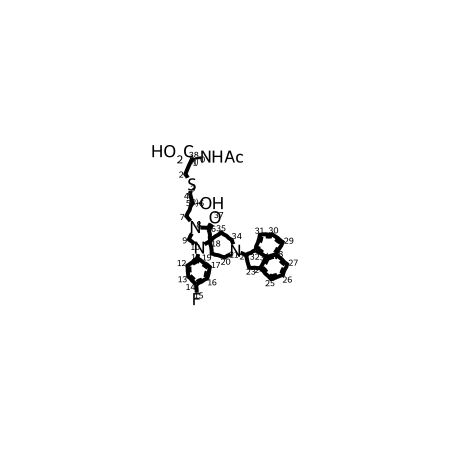 CC(=O)N[C@@H](CSC[C@H](O)CN1CN(c2ccc(F)cc2)C2(CCN(C3Cc4cccc5cccc3c45)CC2)C1=O)C(=O)O